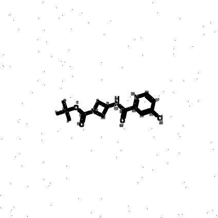 CC(C)(C)OC(=O)N1CC(NC(=O)c2cc(Cl)ccn2)C1